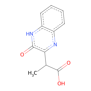 CC(C(=O)O)c1nc2ccccc2[nH]c1=O